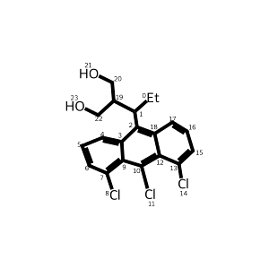 CCC(c1c2cccc(Cl)c2c(Cl)c2c(Cl)cccc12)C(CO)CO